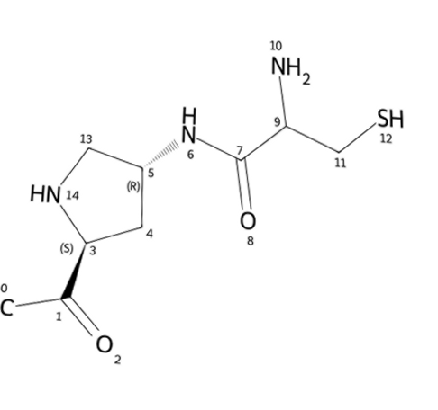 CC(=O)[C@@H]1C[C@@H](NC(=O)C(N)CS)CN1